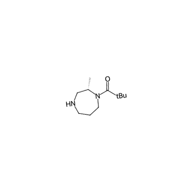 C[C@H]1CNCCCN1C(=O)C(C)(C)C